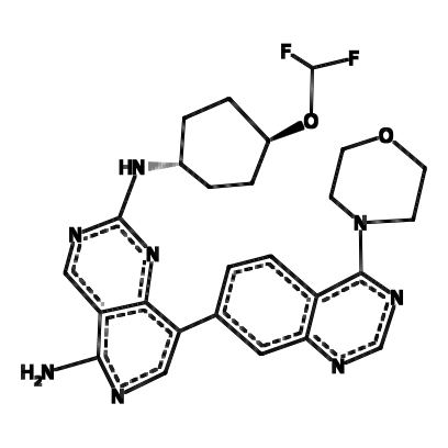 Nc1ncc(-c2ccc3c(N4CCOCC4)ncnc3c2)c2nc(N[C@H]3CC[C@H](OC(F)F)CC3)ncc12